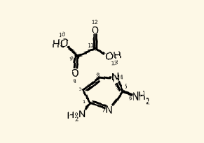 Nc1ccnc(N)n1.O=C(O)C(=O)O